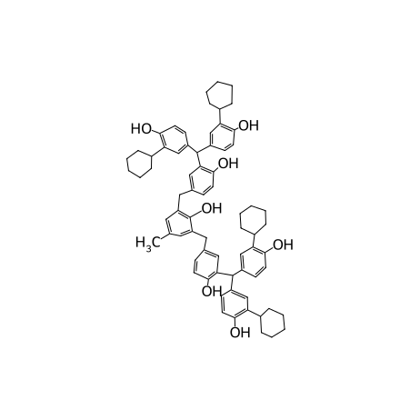 Cc1cc(Cc2ccc(O)c(C(c3ccc(O)c(C4CCCCC4)c3)c3ccc(O)c(C4CCCCC4)c3)c2)c(O)c(Cc2ccc(O)c(C(c3ccc(O)c(C4CCCCC4)c3)c3ccc(O)c(C4CCCCC4)c3)c2)c1